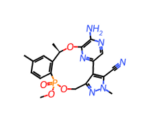 COP1(=O)OCc2nn(C)c(C#N)c2-c2cnc(N)c(n2)O[C@H](C)c2cc(C)ccc21